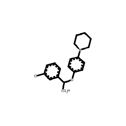 O=C(O)C(Oc1ccc(N2CCCCC2)cc1)c1cccc(Cl)c1